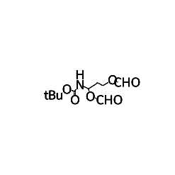 CC(C)(C)OC(=O)NC(CCOC=O)OC=O